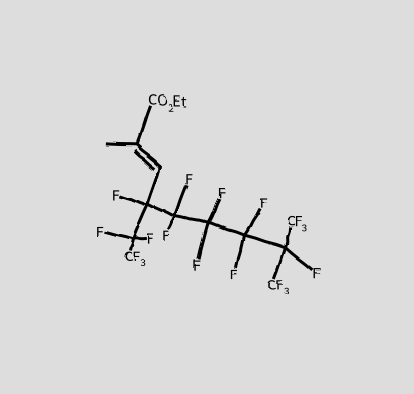 CCOC(=O)C(C)=CC(F)(C(F)(F)C(F)(F)F)C(F)(F)C(F)(F)C(F)(F)C(F)(C(F)(F)F)C(F)(F)F